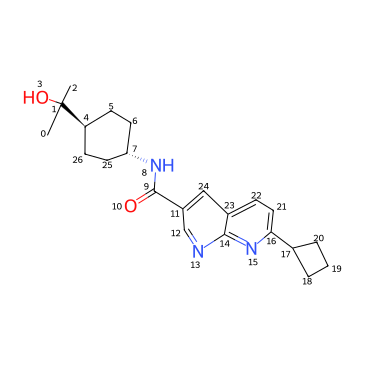 CC(C)(O)[C@H]1CC[C@H](NC(=O)c2cnc3nc(C4CCC4)ccc3c2)CC1